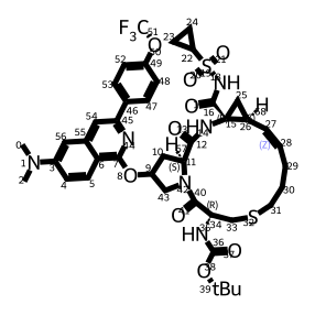 CN(C)c1ccc2c(OC3C[C@H]4C(=O)N[C@]5(C(=O)NS(=O)(=O)C6CC6)C[C@H]5/C=C\CCCSC[C@H](NC(=O)OC(C)(C)C)C(=O)N4C3)nc(-c3ccc(OC(F)(F)F)cc3)cc2c1